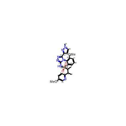 COc1ccc(C(C)C(C)S(=O)(=O)Nc2nnc(-c3ccn(C)n3)n2-c2c(OC)cccc2OC)nc1